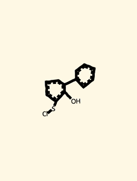 Oc1c(SCl)cccc1-c1ccccc1